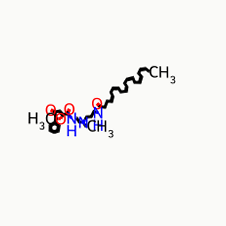 CC/C=C\C/C=C\C/C=C\C/C=C\C/C=C\C/C=C\CCC(=O)NCCCN(CC)CCNC(=O)C1=CC(=O)C(C)(c2ccccc2)O1